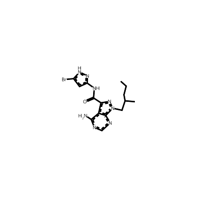 CCCC(C)Cn1nc(C(=O)Nc2cc(Br)[nH]n2)c2c(N)ncnc21